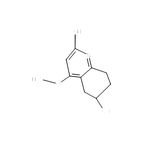 COc1cc(C)nc2c1CC(C)CC2